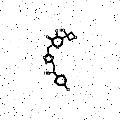 O=c1c(Cl)c(C2(O)COC2)cnn1Cc1nc(C[C@H](O)c2ccc(Cl)cc2)no1